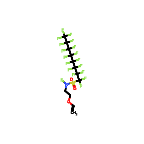 C=COCCN(F)S(=O)(=O)C(F)(F)C(F)(F)C(F)(F)C(F)(F)C(F)(F)C(F)(F)C(F)(F)C(F)(F)F